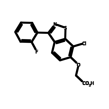 O=C(O)COc1ccc2c(-c3ccccc3F)nsc2c1Cl